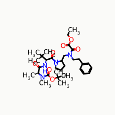 CCOC(=O)C(=O)N(CCc1ccccc1)CC1CCCN1C(=O)[C@@H](NC(=O)[C@H](C)N(C)C(=O)OC(C)(C)C)C(C)(C)C